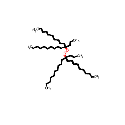 CCCCCCCCCCC(CCC)(CCCCCCCCCC)OOC(CCC)(CCCCCCCCCC)CCCCCCCCCC